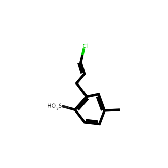 Cc1ccc(S(=O)(=O)O)c(C/C=C/Cl)c1